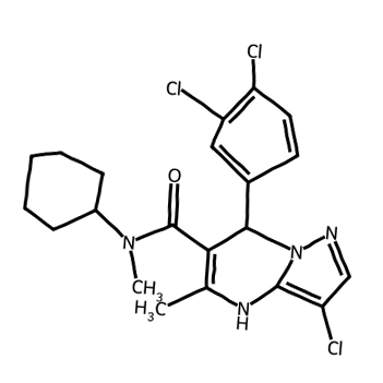 CC1=C(C(=O)N(C)C2CCCCC2)C(c2ccc(Cl)c(Cl)c2)n2ncc(Cl)c2N1